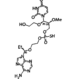 CC[C@@H](OCCOP(=O)(S)OC[C@H](OC)[C@@H](OCCO)n1ccc(=O)[nH]c1=O)n1cnc2c(N)ncnc21